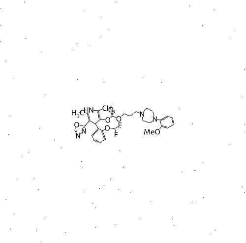 COc1ccccc1N1CCN(CCCOC(=O)OC2=C(C)NC(C)=C(c3nnco3)C2c2ccccc2OC(F)F)CC1